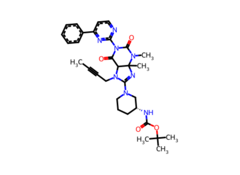 CC#CCN1C(N2CCC[C@@H](NC(=O)OC(C)(C)C)C2)=NC2(C)C1C(=O)N(c1nccc(-c3ccccc3)n1)C(=O)N2C